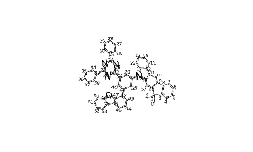 CC1(C)c2ccccc2-c2cc3c4ccccc4n(-c4cc(-c5nc(-c6ccccc6)nc(-c6ccccc6)n5)cc(-c5cccc6c5oc5ccccc56)c4)c3cc21